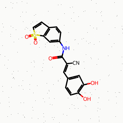 N#C/C(=C\c1ccc(O)c(O)c1)C(=O)Nc1ccc2c(c1)S(=O)(=O)C=C2